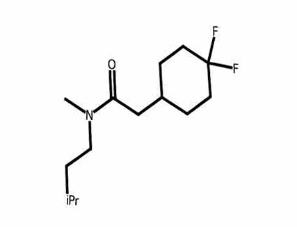 CC(C)CCN(C)C(=O)CC1CCC(F)(F)CC1